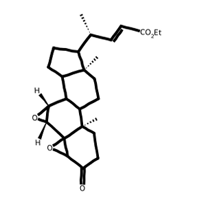 CCOC(=O)/C=C/[C@@H](C)C1CCC2C3C(CC[C@@]21C)[C@@]1(C)CCC(=O)C2OC21[C@@H]1O[C@H]31